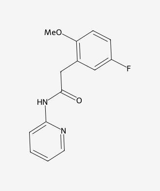 COc1ccc(F)cc1CC(=O)Nc1ccccn1